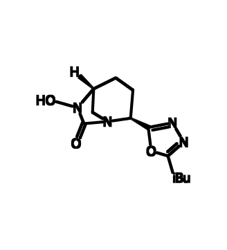 CCC(C)c1nnc([C@@H]2CC[C@@H]3CN2C(=O)N3O)o1